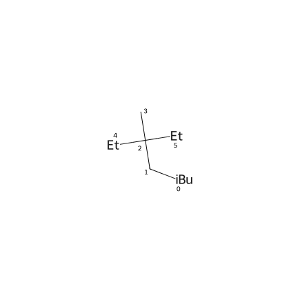 [CH2]C(CC)CC(C)(CC)CC